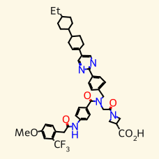 CCC1CCC(C2CC=C(c3cnc(-c4ccc(CN(CC(=O)N5CC(C(=O)O)C5)C(=O)c5ccc(NC(=O)Cc6ccc(OC)cc6C(F)(F)F)cc5)cc4)nc3)CC2)CC1